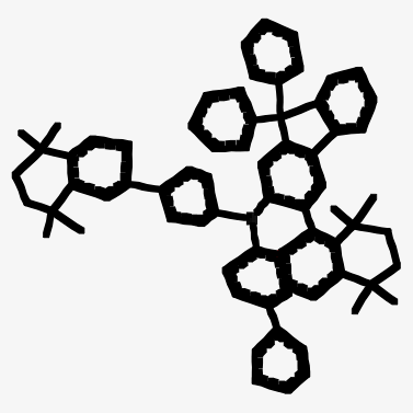 CC1(C)CCC(C)(C)c2cc(-c3ccc(N(c4ccc(-c5ccccc5)cc4)c4cc5c(cc4-c4cccc6c4C(C)(C)CCC6(C)C)-c4ccccc4C5(c4ccccc4)c4ccccc4)cc3)ccc21